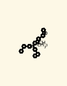 CC1(C)c2cc(-c3ccc4oc5ccccc5c4c3)ccc2-c2ccc(N(c3ccc(-c4cccc(-c5ccccc5)c4)cc3)c3ccc(-c4cccc5ccccc45)cc3)cc21